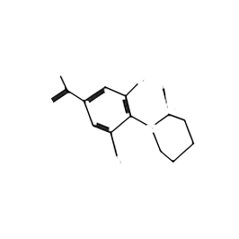 C[C@H]1CCCCN1c1c(N)cc(C(=O)O)cc1Br